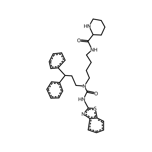 O=C(NCCCCN(CCC(c1ccccc1)c1ccccc1)C(=O)Nc1nc2ccccc2s1)C1CCCCN1